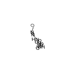 O=C1CCC(N2C(=O)c3cccc(NCCCCN4CCN(CCCCC5CCCCCC5)CC4)c3C2=O)C(=O)N1